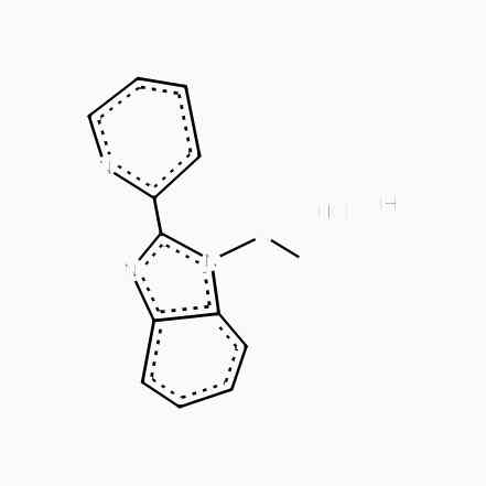 CSn1c(-c2ccccn2)nc2ccccc21.Cl.Cl